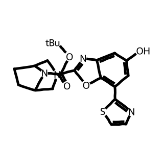 CC(C)(C)OC(=O)N1C2CCC1CN(c1nc3cc(O)cc(-c4nccs4)c3o1)C2